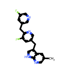 Cc1cnc2[nH]cc(Cc3cnc([CH]c4cncc(F)c4)c(F)c3)c2c1